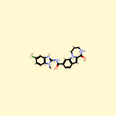 Cn1c(NC(=O)c2ccc3cc4n(c3c2)CCCNC4=O)nc2cc(Cl)ccc21